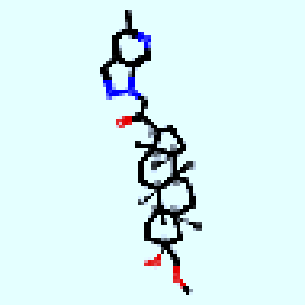 COC[C@@]1(O)CC[C@@]2(C)[C@@H](CC[C@@H]3[C@@H]2CC[C@]2(C)[C@@H](C(=O)Cn4ncc5cc(C)ncc54)CC[C@@H]32)C1